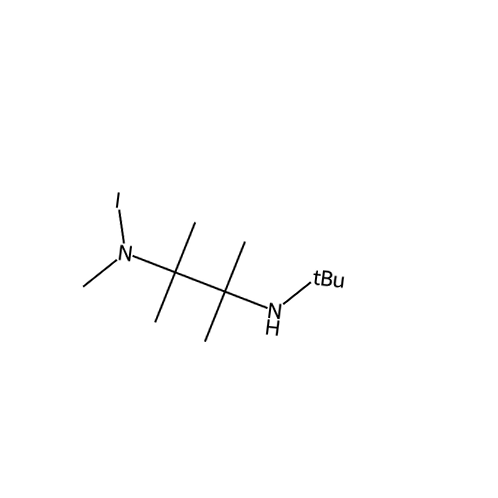 CN(I)C(C)(C)C(C)(C)NC(C)(C)C